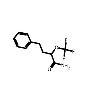 NC(=O)C(CCc1ccccc1)OC(F)(F)F